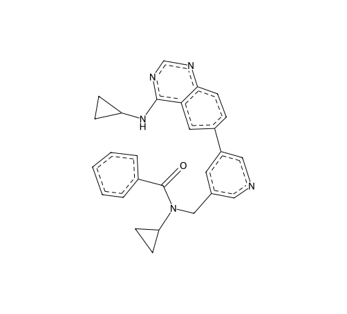 O=C(c1ccccc1)N(Cc1cncc(-c2ccc3ncnc(NC4CC4)c3c2)c1)C1CC1